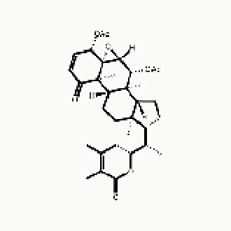 CC(=O)O[C@@H]1[C@H]2[C@@H]3CC[C@H]([C@H](C)[C@H]4CC(C)=C(C)C(=O)O4)[C@@]3(C)CC[C@@H]2[C@@]2(C)C(=O)C=C[C@H](OC(C)=O)[C@]23O[C@H]13